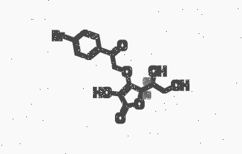 O=C1O[C@H]([C@@H](O)CO)C(OCC(=O)c2ccc(Br)cc2)=C1O